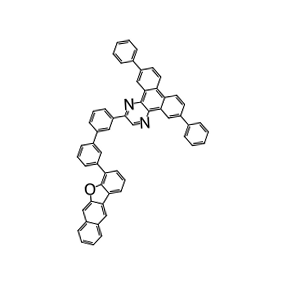 c1ccc(-c2ccc3c4ccc(-c5ccccc5)cc4c4nc(-c5cccc(-c6cccc(-c7cccc8c7oc7cc9ccccc9cc78)c6)c5)cnc4c3c2)cc1